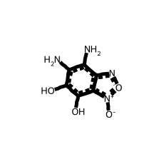 Nc1c(O)c(O)c2c(no[n+]2[O-])c1N